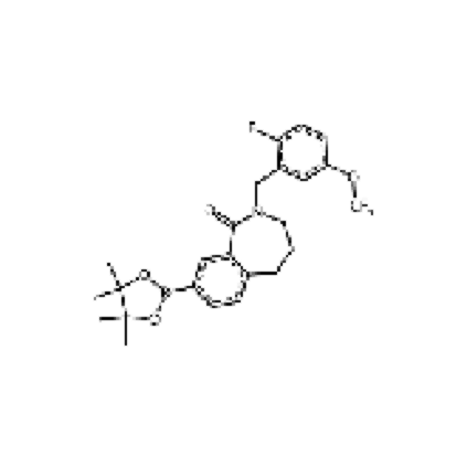 CC1(C)OB(c2ccc3c(c2)C(=O)N(Cc2cc(OC(F)(F)F)ccc2F)CCC3)OC1(C)C